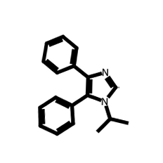 CC(C)n1[c]nc(-c2ccccc2)c1-c1ccccc1